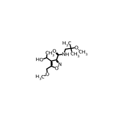 COCc1onc(C(=O)NCC(C)(C)OC)c1C(C)O